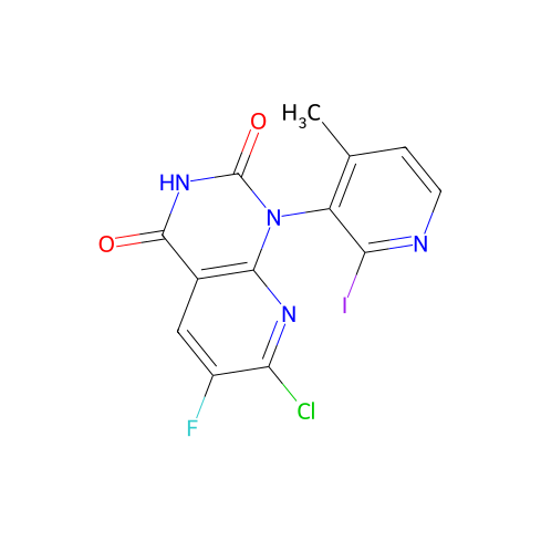 Cc1ccnc(I)c1-n1c(=O)[nH]c(=O)c2cc(F)c(Cl)nc21